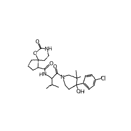 CC(C)C(NC(=O)C1CCCC12CCNC(=O)O2)C(=O)N1CCC(O)(c2ccc(Cl)cc2)C(C)(C)C1